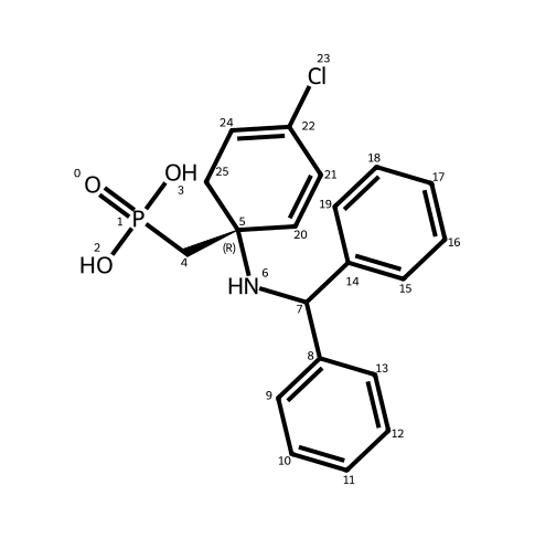 O=P(O)(O)C[C@]1(NC(c2ccccc2)c2ccccc2)C=CC(Cl)=CC1